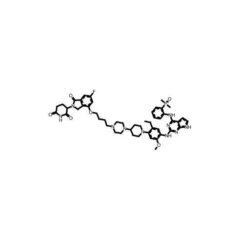 CCc1cc(Nc2nc(Nc3ccccc3P(C)(C)=O)c3cc[nH]c3n2)c(OC)cc1N1CCC(N2CCN(CCCCOc3cc(F)cc4c3CN(C3CCC(=O)NC3=O)C4=O)CC2)CC1